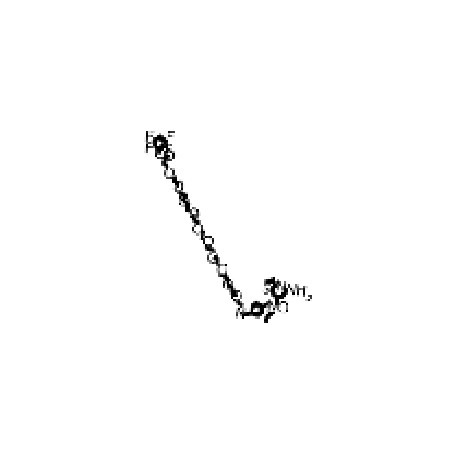 CCCN(Cc1ccc(CN(C)CCOCCOCCOCCOCCOCCOCCOCCOCCOCCOCCC(=O)Oc2c(F)c(F)cc(F)c2F)cc1)C(=O)C1=Cc2sccc2N=C(N)C1